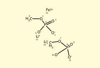 COP(=O)([O-])[O-].COP(=O)([O-])[O-].[Fe+2].[Li+].[Li+]